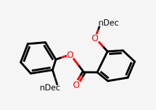 CCCCCCCCCCOc1ccccc1C(=O)Oc1ccccc1CCCCCCCCCC